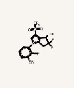 N#Cc1cccc(-n2cc(S(=O)(=O)C(F)(F)F)c3c2CC(F)(F)C3O)c1F